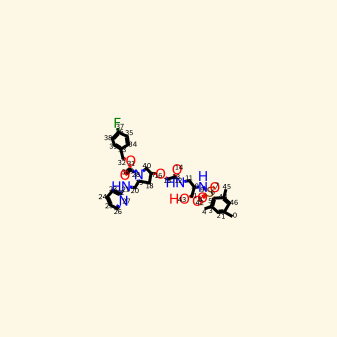 Cc1cc(C)c(S(=O)(=O)NC(CNC(=O)COC2CC(CNc3ccccn3)N(C(=O)OCc3ccc(F)cc3)C2)C(=O)O)c(C)c1